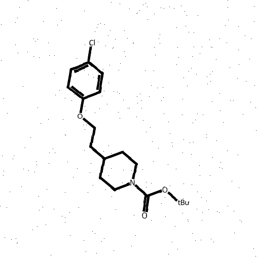 CC(C)(C)OC(=O)N1CCC(CCOc2ccc(Cl)cc2)CC1